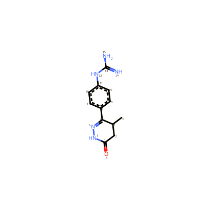 CC1CC(=O)NN=C1c1ccc(NC(=N)N)cc1